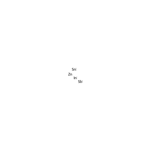 [In].[Sb].[Sn].[Zn]